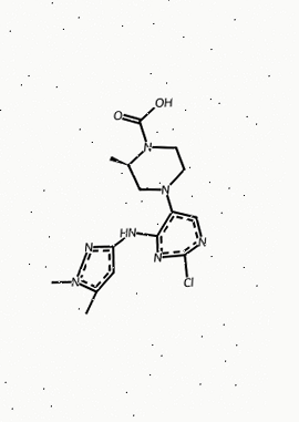 Cc1cc(Nc2nc(Cl)ncc2N2CCN(C(=O)O)[C@H](C)C2)nn1C